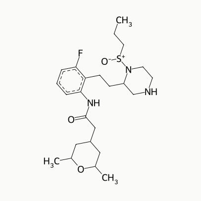 CCC[S+]([O-])N1CCNCC1CCc1c(F)cccc1NC(=O)CC1CC(C)OC(C)C1